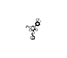 CC(C)OCN(C(=O)C(Cl)OCC1CCCO1)c1cccc(C(F)(F)F)c1